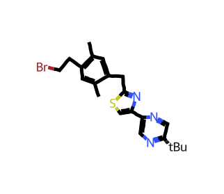 Cc1cc(Cc2nc(-c3cnc(C(C)(C)C)cn3)cs2)c(C)cc1CCBr